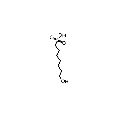 O=S(=O)(O)CCC[CH]CCCO